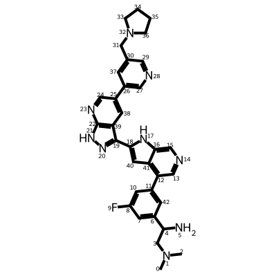 CN(C)CC(N)c1cc(F)cc(-c2cncc3[nH]c(-c4n[nH]c5ncc(-c6cncc(CN7CCCC7)c6)cc45)cc23)c1